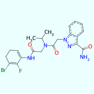 CC(C)N(CC(=O)NC1=CCCC(Br)=C1F)C(=O)Cn1nc(C(N)=O)c2ccccc21